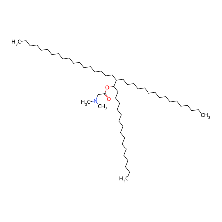 CCCCCCCCCCCCCCCCCCC(CCCCCCCCCCCCCCCC)C(CCCCCCCCCCCCCCCC)OC(=O)CN(C)C